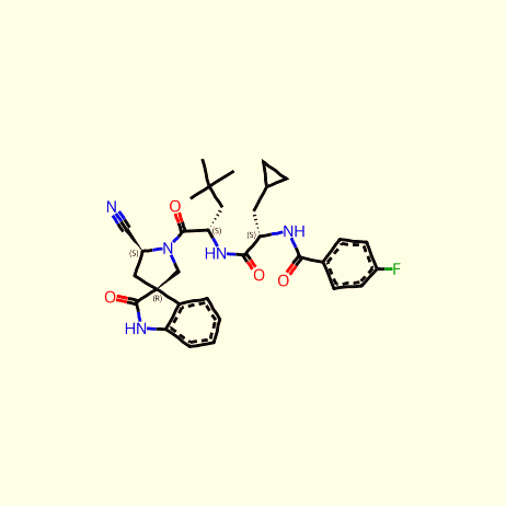 CC(C)(C)C[C@H](NC(=O)[C@H](CC1CC1)NC(=O)c1ccc(F)cc1)C(=O)N1C[C@]2(C[C@H]1C#N)C(=O)Nc1ccccc12